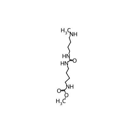 CNCCCCNC(=O)NCCCCNC(=O)OC